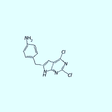 Nc1ccc(Cc2cc3c(Cl)nc(Cl)nc3[nH]2)cc1